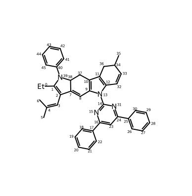 CCC1=C(C=C(C)C)C2=Cc3c(c4c(n3-c3nc(-c5ccccc5)cc(-c5ccccc5)n3)C=CC(C)C4)CC2N1c1ccccc1